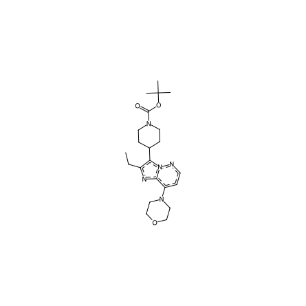 CCc1nc2c(N3CCOCC3)ccnn2c1C1CCN(C(=O)OC(C)(C)C)CC1